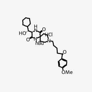 CCCCN1C(=O)[C@@H]([C@H](O)C2CCCCC2)NC(=O)C12CCN(CCCCC(=O)c1ccc(OC)cc1)CC2.Cl